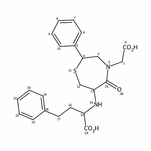 O=C(O)CN1CC(c2ccccc2)SCC(NC(CCc2ccccc2)C(=O)O)C1=O